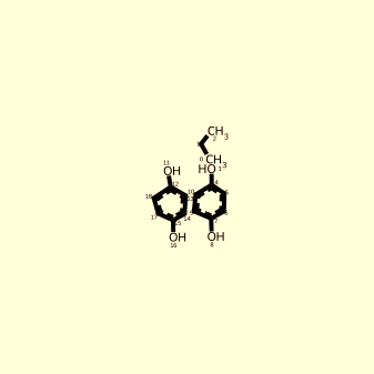 CCC.Oc1ccc(O)cc1.Oc1ccc(O)cc1